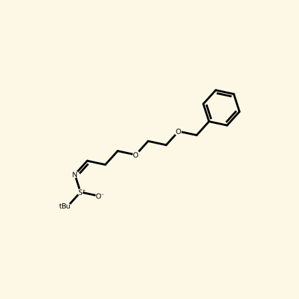 CC(C)(C)[S+]([O-])/N=C\CCOCCOCc1ccccc1